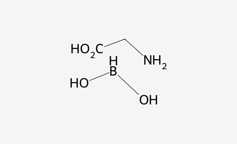 NCC(=O)O.OBO